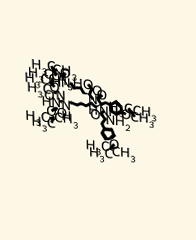 CC(C)(C)OC(=O)N=C(NCCCCCC[C@@](Cc1ccc(OC(C)(C)C)cc1)(NC(=O)[C@@H](N)Cc1ccc(OC(C)(C)C)cc1)C(=O)N[C@@H](CCCCNC(=O)OC(C)(C)C)C(=O)O)NC(=O)OC(C)(C)C